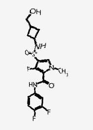 Cn1cc([S+]([O-])NC2CC(CO)C2)c(F)c1C(=O)Nc1ccc(F)c(F)c1